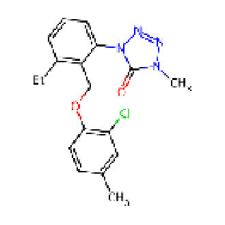 CCc1cccc(-n2nnn(C)c2=O)c1COc1ccc(C)cc1Cl